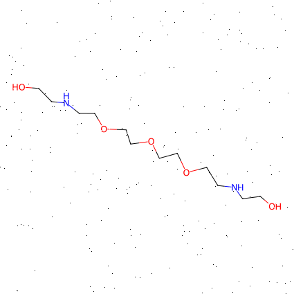 OCCNCCOCCOCCOCCNCCO